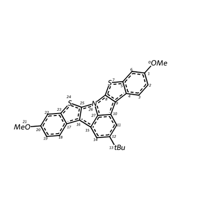 COc1ccc2c(c1)sc1c2c2cc(C(C)(C)C)cc3c4c5ccc(OC)cc5sc4n1c23